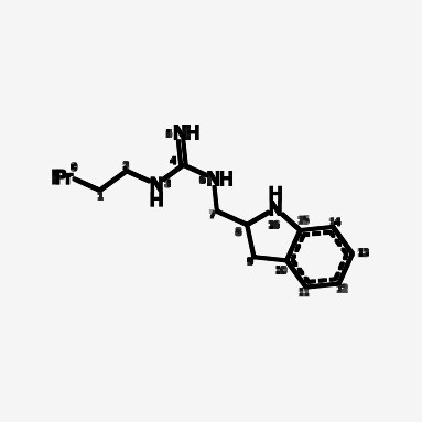 CC(C)CCNC(=N)NCC1Cc2ccccc2N1